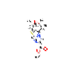 CCOC(=O)c1cn2c3c(sc2n1)C(C)(C)OC(C)(C)C3